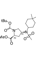 COC(=O)[C@@H]1C[C@H](N(C2CCC(C)(C)CC2)S(C)(=O)=O)CN1C(=O)OC(C)(C)C